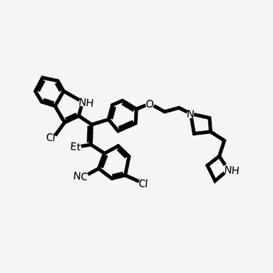 CC/C(=C(/c1ccc(OCCN2CC(CC3CCN3)C2)cc1)c1[nH]c2ccccc2c1Cl)c1ccc(Cl)cc1C#N